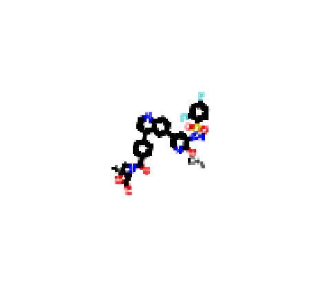 COc1ncc(-c2ccc3nccc(-c4ccc(C(=O)N5C[C@@H]6OC(=O)C65)cc4)c3c2)cc1NS(=O)(=O)c1ccc(F)cc1F